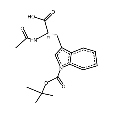 CC(=O)N[C@@H](Cc1cn(C(=O)OC(C)(C)C)c2ccccc12)C(=O)O